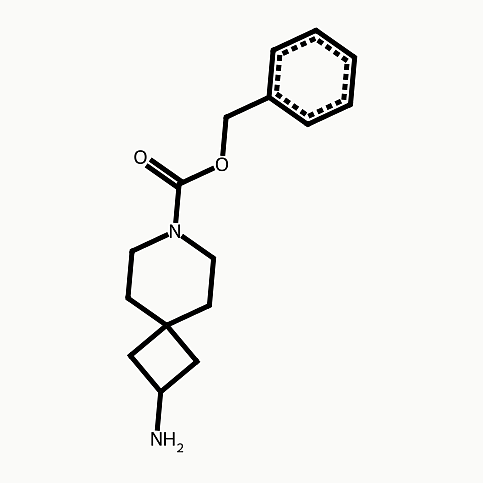 NC1CC2(CCN(C(=O)OCc3ccccc3)CC2)C1